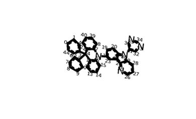 c1ccc(C2(c3ccccc3)c3ccccc3N(c3ccc4c(c3)c3ncccc3n4-c3cncnc3)c3ccccc32)cc1